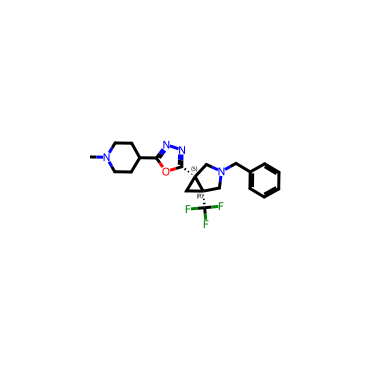 CN1CCC(c2nnc([C@]34CN(Cc5ccccc5)C[C@@]3(C(F)(F)F)C4)o2)CC1